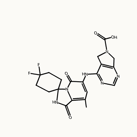 Cc1cc(Nc2ncnc3c2CN(C(=O)O)C3)c(=O)n2c1C(=O)NC21CCC(F)(F)CC1